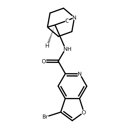 O=C(N[C@@H]1CN2CCC1CC2)c1cc2c(Br)coc2cn1